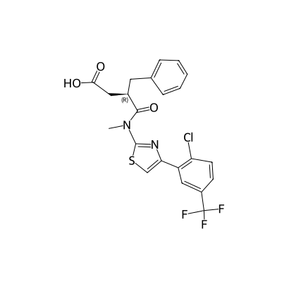 CN(C(=O)[C@@H](CC(=O)O)Cc1ccccc1)c1nc(-c2cc(C(F)(F)F)ccc2Cl)cs1